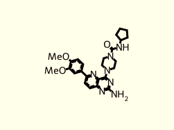 COc1ccc(-c2ccc3nc(N)nc(N4CCN(C(=O)NC5CCCC5)CC4)c3n2)cc1OC